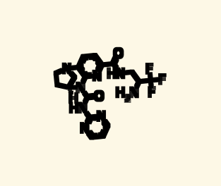 NC(CNC(=O)c1ccc2c(n1)N(C(=O)Nc1ncccn1)[C@H]1CCN2C1)C(F)(F)F